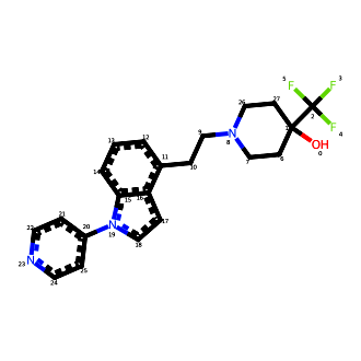 OC1(C(F)(F)F)CCN(CCc2cccc3c2ccn3-c2ccncc2)CC1